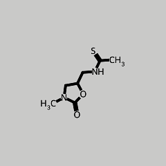 CC(=S)NCC1CN(C)C(=O)O1